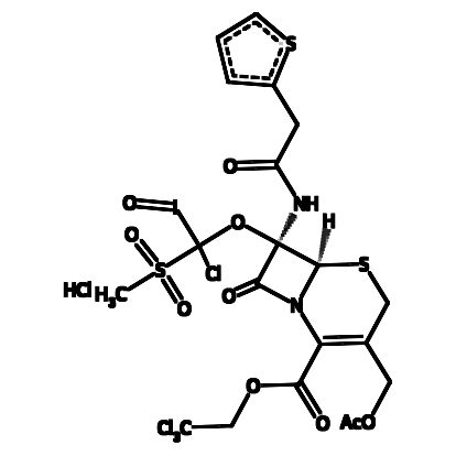 CC(=O)OCC1=C(C(=O)OCC(Cl)(Cl)Cl)N2C(=O)[C@@](NC(=O)Cc3cccs3)(OC(Cl)(I=O)S(C)(=O)=O)[C@H]2SC1.Cl